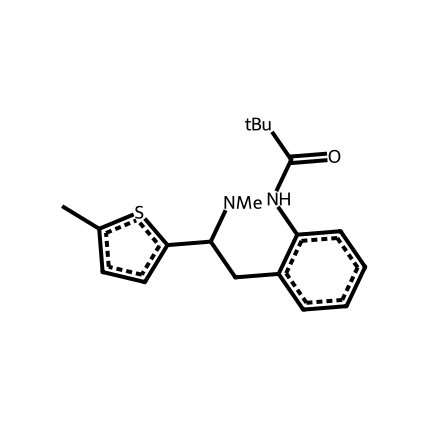 CNC(Cc1ccccc1NC(=O)C(C)(C)C)c1ccc(C)s1